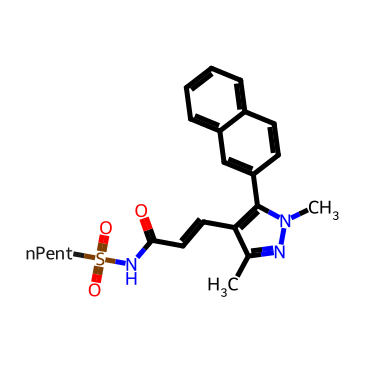 CCCCCS(=O)(=O)NC(=O)C=Cc1c(C)nn(C)c1-c1ccc2ccccc2c1